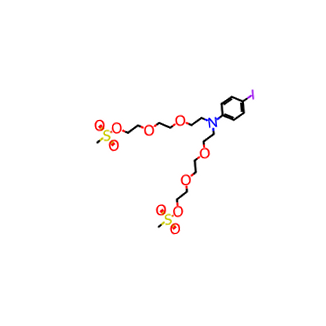 CS(=O)(=O)OCCOCCOCCN(CCOCCOCCOS(C)(=O)=O)c1ccc(I)cc1